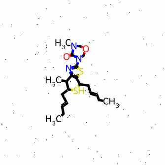 CCC=CCC1[SH]C(CC=CCC)C(C)c2nc(N3COCN(C)C3=O)sc21